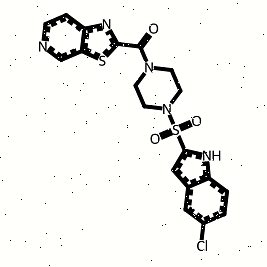 O=C(c1nc2ccncc2s1)N1CCN(S(=O)(=O)c2cc3cc(Cl)ccc3[nH]2)CC1